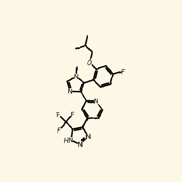 CC(C)COc1cc(F)ccc1-c1c(-c2cc(-c3nn[nH]c3C(F)(F)F)ccn2)ncn1C